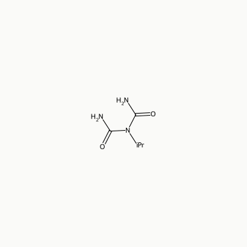 CC(C)N(C(N)=O)C(N)=O